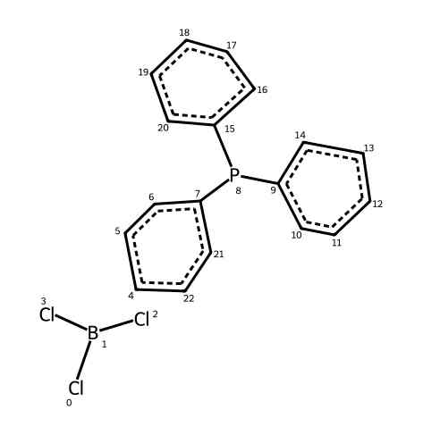 ClB(Cl)Cl.c1ccc(P(c2ccccc2)c2ccccc2)cc1